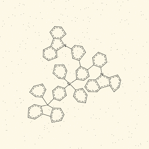 c1ccc(C2(c3ccc([Si](c4ccccc4)(c4ccccc4)c4ccc(-c5ccccc5-n5c6ccccc6c6ccccc65)c(-c5cccc(-n6c7ccccc7c7ccccc76)c5)c4)cc3)c3ccccc3-c3ccccc32)cc1